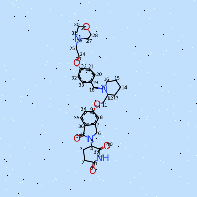 O=C1CCC(N2Cc3cc(OCC4CCCCN4Cc4ccc(OCCN5CCOCC5)cc4)ccc3C2=O)C(=O)N1